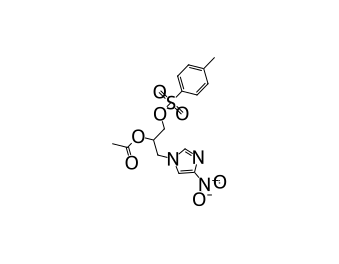 CC(=O)OC(COS(=O)(=O)c1ccc(C)cc1)Cn1cnc([N+](=O)[O-])c1